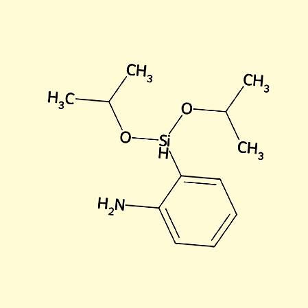 CC(C)O[SiH](OC(C)C)c1ccccc1N